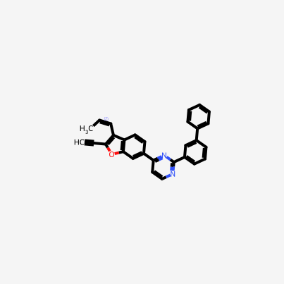 C#Cc1oc2cc(-c3ccnc(-c4cccc(-c5ccccc5)c4)n3)ccc2c1/C=C\C